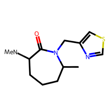 CNC1CCCC(C)N(Cc2cscn2)C1=O